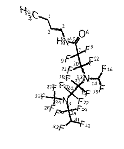 CCCCNC(=O)C(F)(F)C(F)(F)N(C(F)F)C(F)(F)C(F)(F)N(C(F)(F)F)C(F)(F)C(F)F